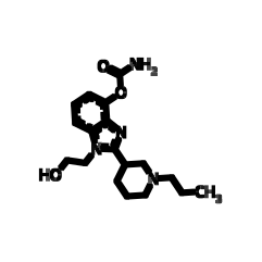 CCCN1CCCC(c2nc3c(OC(N)=O)cccc3n2CCO)C1